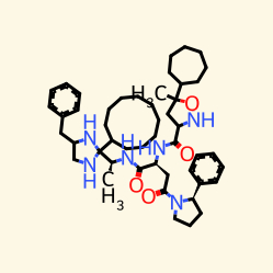 C[C@H](NC(=O)[C@H](CC(=O)N1CCC[C@@H]1c1ccccc1)NC(=O)C1CC(C)(C2CCCCCC2)ON1)C1(C2CCCCCCCCC2)NCC(Cc2ccccc2)N1